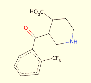 O=C(O)C1CCNCC1C(=O)c1ccccc1C(F)(F)F